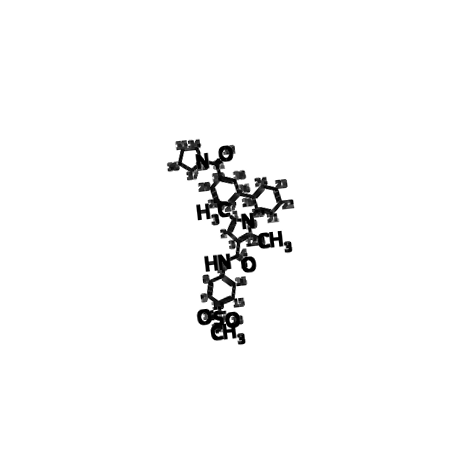 Cc1cc(C(=O)Nc2ccc(S(C)(=O)=O)cc2)c(C)n1-c1ccccc1-c1cccc(C(=O)N2CCCC2)c1